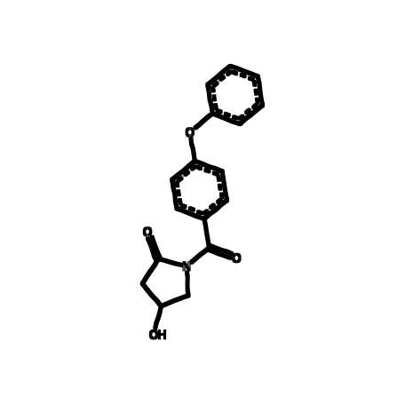 O=C1CC(O)CN1C(=O)c1ccc(Oc2ccccc2)cc1